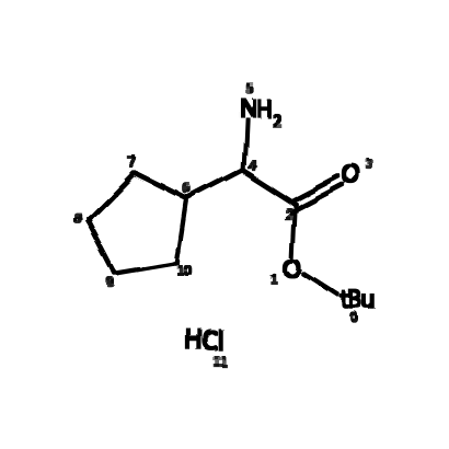 CC(C)(C)OC(=O)C(N)C1CCCC1.Cl